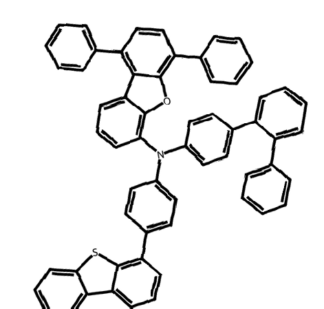 c1ccc(-c2ccccc2-c2ccc(N(c3ccc(-c4cccc5c4sc4ccccc45)cc3)c3cccc4c3oc3c(-c5ccccc5)ccc(-c5ccccc5)c34)cc2)cc1